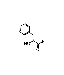 O=C(F)C(O)Cc1ccccc1